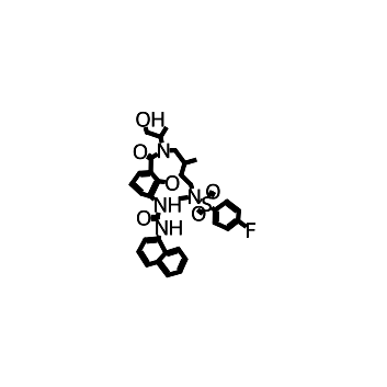 CC1CN(C(C)CO)C(=O)c2cccc(NC(=O)Nc3cccc4ccccc34)c2OC1CN(C)S(=O)(=O)c1ccc(F)cc1